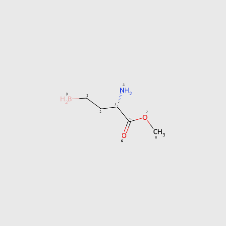 BCC[C@H](N)C(=O)OC